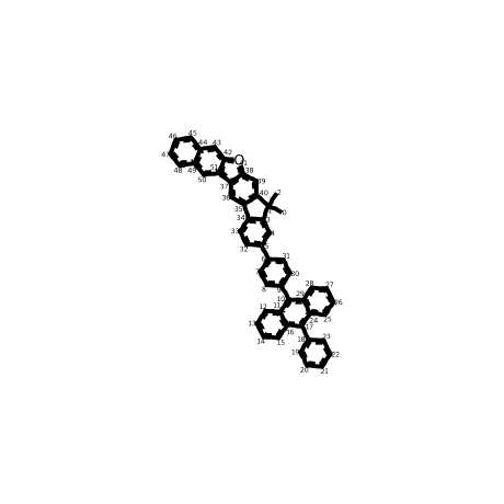 CC1(C)c2cc(-c3ccc(-c4c5ccccc5c(-c5ccccc5)c5ccccc45)cc3)ccc2-c2cc3c(cc21)oc1cc2ccccc2cc13